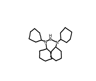 B(N(C1CCCCC1)C1CCCCC1)N(C1CCCCC1)C1CCCCC1